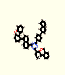 c1ccc2c(c1)COc1c(-c3nc(-c4ccc(-c5ccc6ccccc6c5)cc4)nc(-c4cccc5c(-c6cccc7oc8ccccc8c67)cccc45)n3)cccc1-2